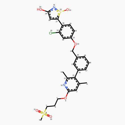 Cc1cc(OCCCS(C)(=O)=O)nc(C)c1-c1cccc(COc2ccc(-c3cc(O)n[s+]3[O-])c(Cl)c2)c1